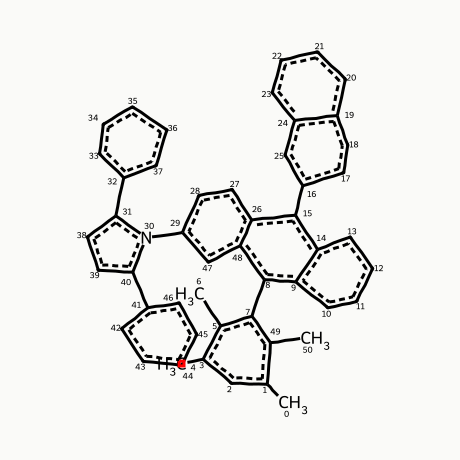 Cc1cc(C)c(C)c(-c2c3ccccc3c(-c3ccc4ccccc4c3)c3ccc(-n4c(-c5ccccc5)ccc4-c4ccccc4)cc23)c1C